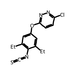 CCc1cc(Oc2ccc(Cl)nn2)cc(CC)c1N=C=S